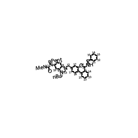 CCCCCN(C(=O)NC)c1ccc2c(c1)N(CCCC)CN2Cc1ccc(-c2ccccc2C(=O)NSc2ccccc2)cc1